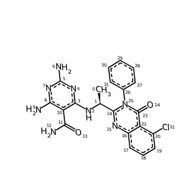 C[C@H](Nc1nc(N)nc(N)c1C(N)=O)c1nc2cccc(Cl)c2c(=O)n1-c1ccccc1